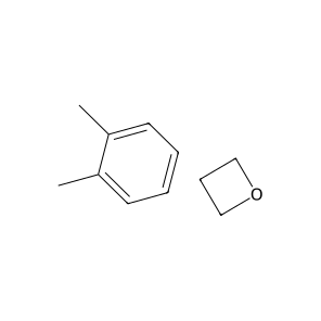 C1COC1.Cc1ccccc1C